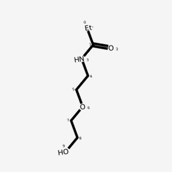 C[CH]C(=O)NCCOCCO